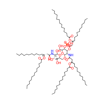 CCCCCCCCCCCCCC(=O)O[C@H](CCCCCCCCCCC)CC(=O)NC1C(OCC(OC(O)[C@H](CO)NC(=O)C[C@@H](CCCCCCCCCCC)OC(=O)CCCCCCCCCCCCC)[C@H](C)O)OC(CO)C(OP(=O)(O)O)C1OC(=O)C[C@@H](CCCCCCCCCCC)OC(=O)CCCCCCCCCCCCC